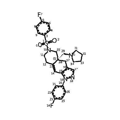 O=S(=O)(c1ccc(F)cc1)N1CCC2=Cc3c(cnn3-c3ccc(F)cc3)C[C@]2(CN2CCCC2)C1